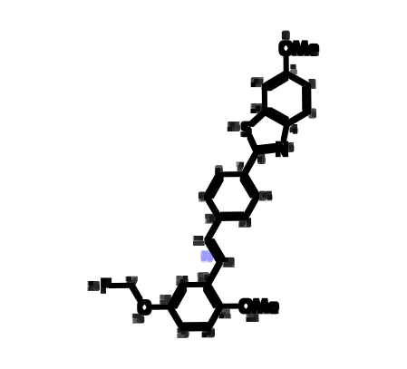 COc1ccc2nc(-c3ccc(/C=C/c4cc(OCF)ccc4OC)cc3)sc2c1